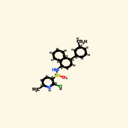 Cc1ccc([S+]([O-])Nc2ccc(-c3cccc(C(=O)O)c3)c3ccccc23)c(Cl)n1